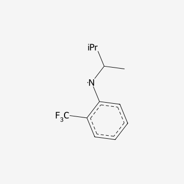 CC(C)C(C)[N]c1ccccc1C(F)(F)F